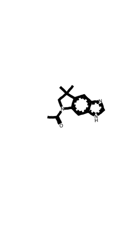 CC(=O)N1CC(C)(C)c2cc3nc[nH]c3cc21